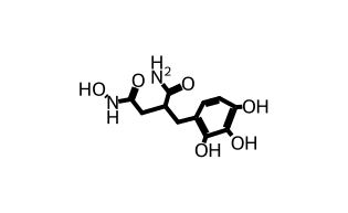 NC(=O)C(CC(=O)NO)Cc1ccc(O)c(O)c1O